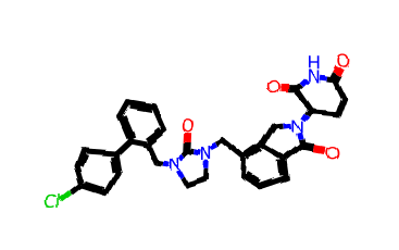 O=C1CCC(N2Cc3c(CN4CCN(Cc5ccccc5-c5ccc(Cl)cc5)C4=O)cccc3C2=O)C(=O)N1